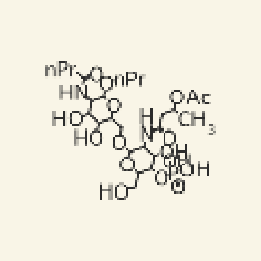 CCCOC1OC(COC2OC(CO)C(OP(=O)(O)O)C(O)C2NC(=O)CC(C)OC(C)=O)C(O)C(O)C1NC(=O)CCC